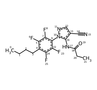 CCCCc1c(F)c(F)c(-n2ncc(C#N)c2NC(=O)CC)c(F)c1F